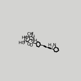 CC(O)(C(F)F)C(NC(=O)c1ccc(C#CC#Cc2ccccc2N)cc1)C(=O)NO